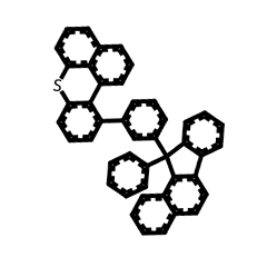 c1ccc(C2(c3cccc(-c4cccc5c4-c4cccc6cccc(c46)S5)c3)c3ccccc3-c3ccc4ccccc4c32)cc1